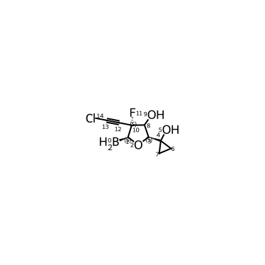 B[C@@H]1O[C@H](C2(O)CC2)C(O)[C@]1(F)C#CCl